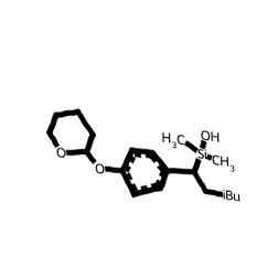 CCC(C)CC(c1ccc(OC2CCCCO2)cc1)[Si](C)(C)O